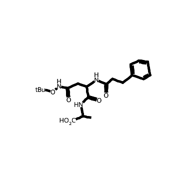 CC(NC(=O)C(CC(=O)NOC(C)(C)C)NC(=O)CCc1ccccc1)C(=O)O